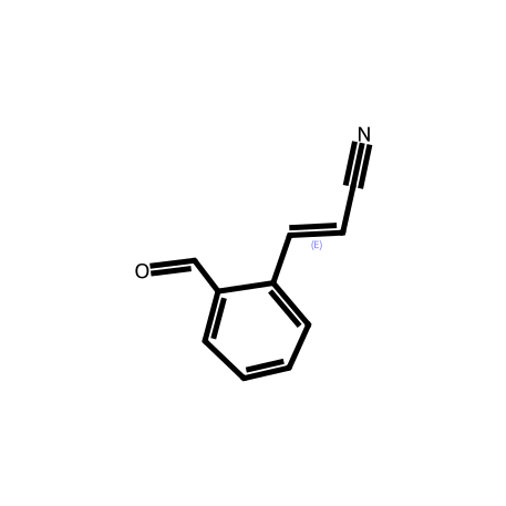 N#C/C=C/c1ccccc1C=O